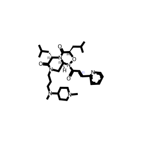 CC(C)C[C@H]1ON(C(=O)/C=C/c2ccccn2)[C@H]2CN(CCCN(C)C3CCN(C)CC3)C(=O)[C@H](CC(C)C)N2C1=O